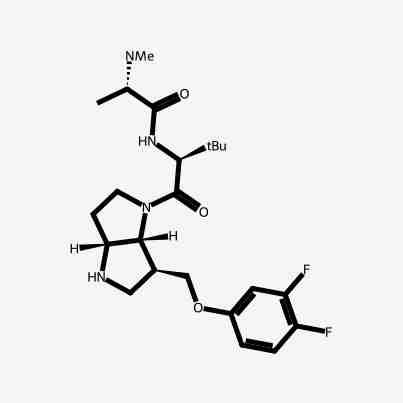 CN[C@@H](C)C(=O)N[C@H](C(=O)N1CC[C@H]2NC[C@H](COc3ccc(F)c(F)c3)[C@H]21)C(C)(C)C